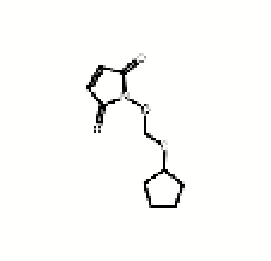 O=C1C=CC(=O)N1OCOC1CCCC1